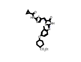 CCOC(=O)C1CCC(Oc2ccc(/N=C3/NC(=O)/C(=C/c4cnc(NC(=O)C5CC5)s4)S3)c(C)c2)CC1